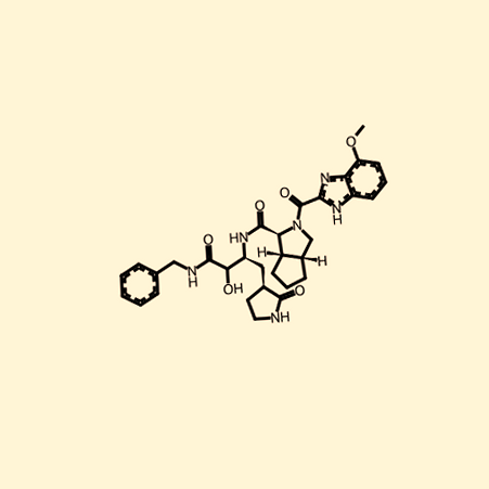 COc1cccc2[nH]c(C(=O)N3C[C@@H]4CCC[C@@H]4[C@H]3C(=O)N[C@@H](C[C@@H]3CCNC3=O)C(O)C(=O)NCc3ccccc3)nc12